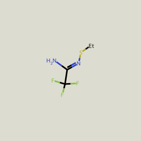 CCS/N=C(\N)C(F)(F)F